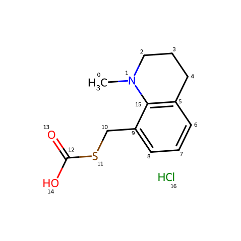 CN1CCCc2cccc(CSC(=O)O)c21.Cl